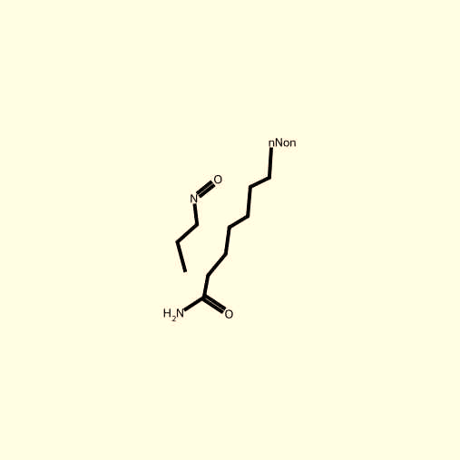 CCCCCCCCCCCCCCCC(N)=O.CCCN=O